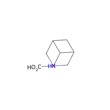 O=C(O)CC1C2CNCC1C2